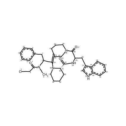 CN(C(=O)CCl)C(Cc1ccccc1)C(=O)N1CCCC[C@H]1C(=O)NC(Cc1c[nH]c2ccccc12)C(=O)N1CCCCC1